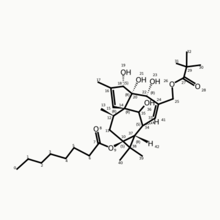 CCCCCCCC(=O)O[C@@]12C[C@@H](C)[C@]34C=C(C)[C@H](O)[C@@]3(O)[C@H](O)C(COC(=O)C(C)(C)C)=C[C@H](C4O)[C@@H]1C2(C)C